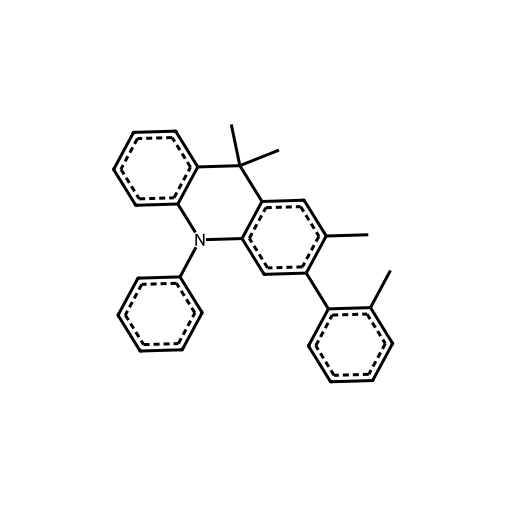 Cc1ccccc1-c1cc2c(cc1C)C(C)(C)c1ccccc1N2c1ccccc1